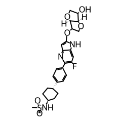 CS(=O)(=O)N[C@H]1CC[C@H](c2ccc(-c3nc4cc(O[C@@H]5CO[C@H]6[C@@H]5OC[C@H]6O)[nH]c4cc3F)cc2)CC1